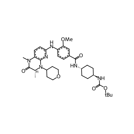 COc1cc(C(=O)N[C@H]2CC[C@H](NC(=O)OC(C)(C)C)CC2)ccc1Nc1ccc2c(n1)N(C1CCOCC1)[C@H](C)C(=O)N2C